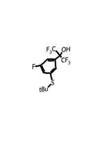 CC(C)(C)Sc1cc(F)cc(C(O)(C(F)(F)F)C(F)(F)F)c1